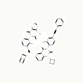 C#Cc1cccc(-n2c(=O)c3scnc3n(C)c2=O)c1Cl.O=c1c2ccccc2n(C2CCC2)c(=O)n1-c1ccc(C#Cc2ccccc2)cc1Cl.c1cc2ccc1-2